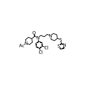 CC(=O)N1CCC(C(=O)N(CCCN2CCC(Sc3nccs3)CC2)c2ccc(Cl)c(Cl)c2)CC1